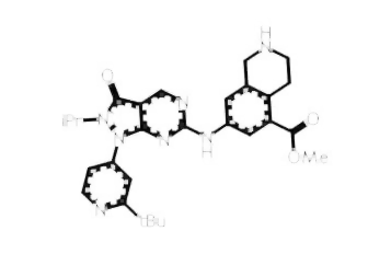 COC(=O)c1cc(Nc2ncc3c(=O)n(C(C)C)n(-c4ccnc(C(C)(C)C)c4)c3n2)cc2c1CCNC2